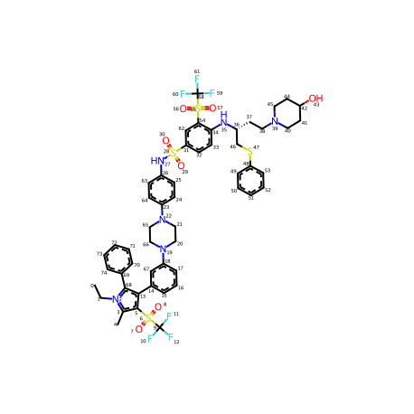 CCn1c(C)c(S(=O)(=O)C(F)(F)F)c(-c2cccc(N3CCN(c4ccc(NS(=O)(=O)c5ccc(N[C@H](CCN6CCC(O)CC6)CSc6ccccc6)c(S(=O)(=O)C(F)(F)F)c5)cc4)CC3)c2)c1-c1ccccc1